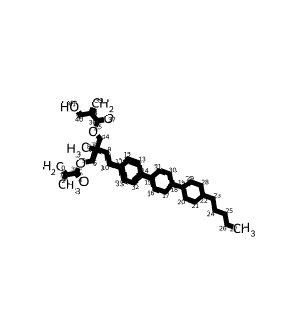 C=C(C)C(=O)OCC(C)(CCc1ccc(C2CCC(C3CCC(CCCCC)CC3)CC2)cc1)COC(=O)C(=C)CO